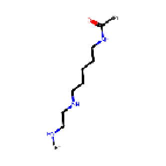 CC(C)NCCNCCCCCNC(=O)C(C)C